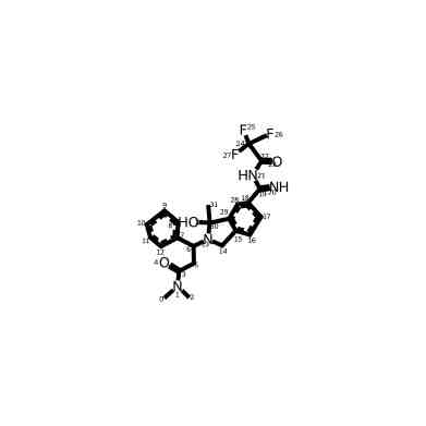 CN(C)C(=O)CC(c1ccccc1)N1Cc2ccc(C(=N)NC(=O)C(F)(F)F)cc2C1(C)O